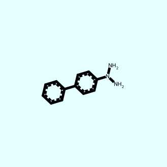 NN(N)c1ccc(-c2ccccc2)cc1